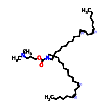 CCCCC/C=C\C/C=C\CCCCCCCCC1(CCCCCCCC/C=C\C/C=C\CCCCC)CN(C(=O)OCCCN(C)C)C1